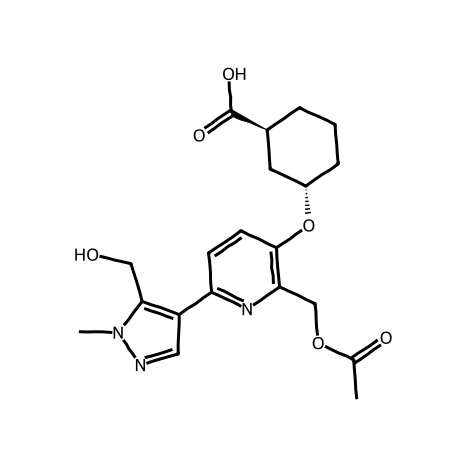 CC(=O)OCc1nc(-c2cnn(C)c2CO)ccc1O[C@H]1CCC[C@H](C(=O)O)C1